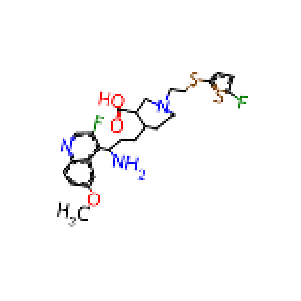 COc1ccc2ncc(F)c(C(N)CCC3CCN(CCSc4ccc(F)s4)CC3C(=O)O)c2c1